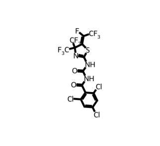 O=C(NC(=O)c1c(Cl)cc(Cl)cc1Cl)NC1=NC(C(F)(F)F)(C(F)(F)F)/C(=C(\F)C(F)(F)F)S1